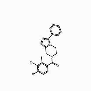 Cc1c(C(=O)N2CCn3c(nnc3-c3cnccn3)C2)ccc(F)c1Cl